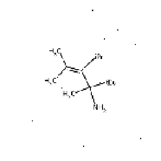 CC(C)=C(C(C)C)C(C)(N)C(C)(C)C